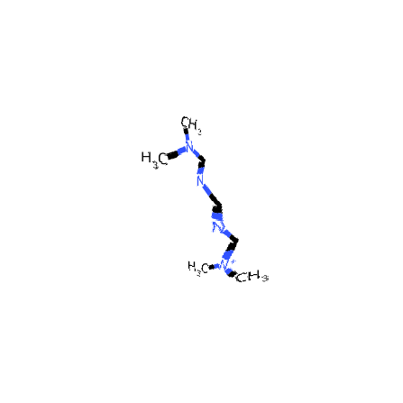 CN(C)C=NC=NC=[N+](C)C